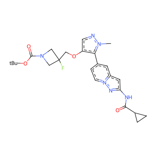 Cn1ncc(OCC2(F)CN(C(=O)OC(C)(C)C)C2)c1-c1ccn2nc(NC(=O)C3CC3)cc2c1